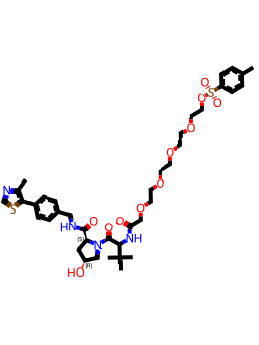 Cc1ccc(S(=O)(=O)OCCOCCOCCOCCOCC(=O)NC(C(=O)N2C[C@H](O)C[C@H]2C(=O)NCc2ccc(-c3scnc3C)cc2)C(C)(C)C)cc1